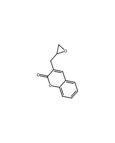 O=c1oc2ccccc2cc1CC1CO1